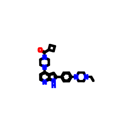 CCN1CCN(c2ccc(-c3cc4c(N5CCN(C(=O)C6CCC6)CC5)ccnc4[nH]3)cc2)CC1